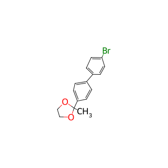 CC1(c2ccc(-c3ccc(Br)cc3)cc2)OCCO1